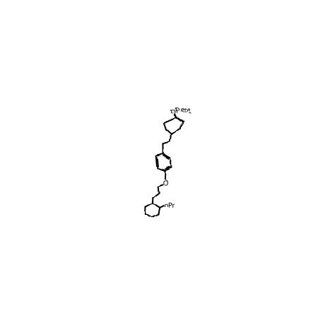 CCCCCC1CCC(CCc2ccc(OCCCC3CCCCC3CCC)cc2)CC1